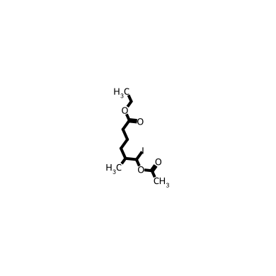 CCOC(=O)CCCC(C)C(I)OC(C)=O